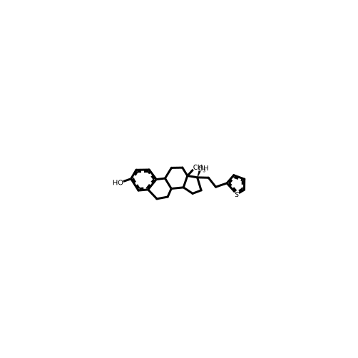 CC12CCC3c4ccc(O)cc4CCC3C1CC[C@@]2(O)CCc1cccs1